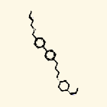 C/C=C\[C@H]1CC[C@H](CCCCc2ccc(-c3ccc(COC/C=C/C)cc3)cc2)CC1